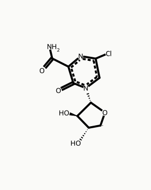 NC(=O)c1nc(Cl)cn([C@@H]2O[CH][C@H](O)[C@H]2O)c1=O